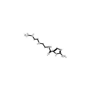 Cc1ncc(C(=O)NCCOCCO[N+](=O)[O-])s1